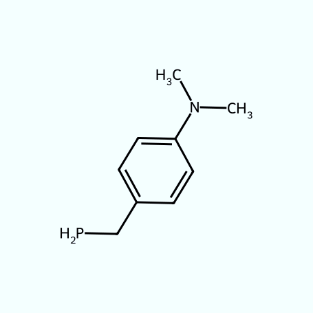 CN(C)c1ccc(CP)cc1